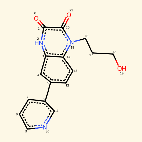 O=c1[nH]c2cc(-c3cccnc3)ccc2n(CCCO)c1=O